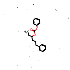 CCC(CCCc1ccccc1)OC(=O)Oc1ccccc1